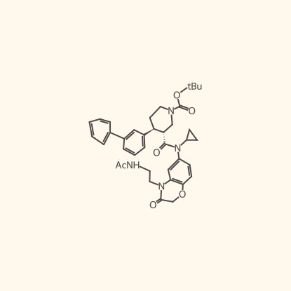 CC(=O)NCCN1C(=O)COc2ccc(N(C(=O)[C@H]3CN(C(=O)OC(C)(C)C)CC[C@@H]3c3cccc(-c4ccccc4)c3)C3CC3)cc21